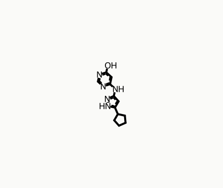 Oc1cc(Nc2cc(C3CCCC3)[nH]n2)ncn1